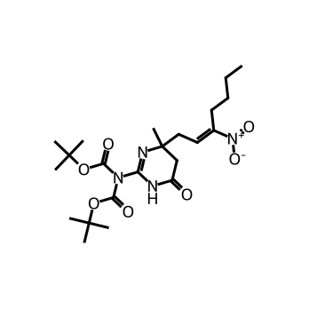 CCCC/C(=C\CC1(C)CC(=O)NC(N(C(=O)OC(C)(C)C)C(=O)OC(C)(C)C)=N1)[N+](=O)[O-]